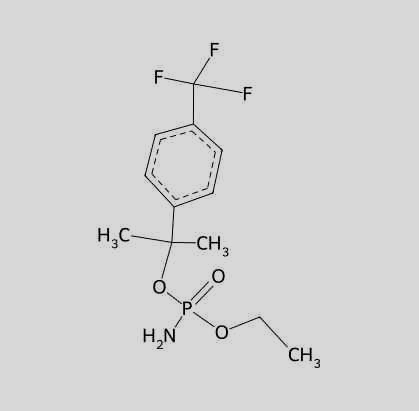 CCOP(N)(=O)OC(C)(C)c1ccc(C(F)(F)F)cc1